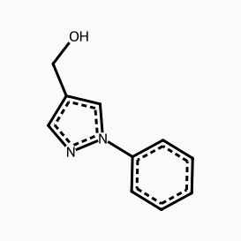 OCc1cnn(-c2ccccc2)c1